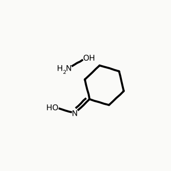 NO.ON=C1CCCCC1